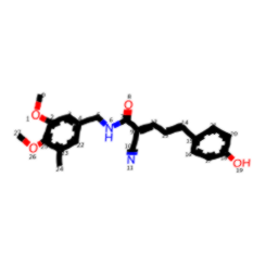 COc1cc(CNC(=O)/C(C#N)=C/C=C/c2ccc(O)cc2)cc(C)c1OC